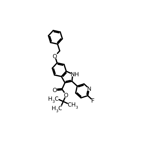 CC(C)(C)OC(=O)c1c(-c2ccc(F)nc2)[nH]c2cc(OCc3ccccc3)ccc12